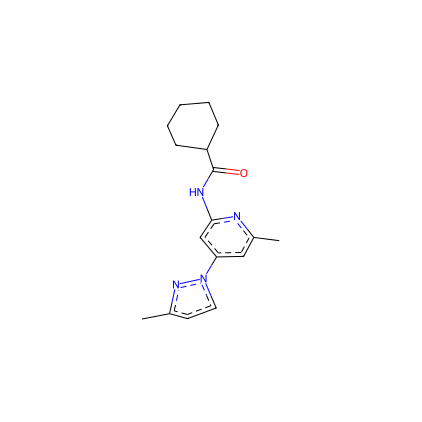 Cc1cc(-n2ccc(C)n2)cc(NC(=O)C2CCCCC2)n1